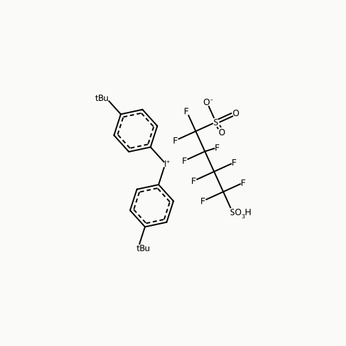 CC(C)(C)c1ccc([I+]c2ccc(C(C)(C)C)cc2)cc1.O=S(=O)([O-])C(F)(F)C(F)(F)C(F)(F)C(F)(F)S(=O)(=O)O